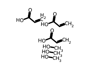 C=CC(=O)O.C=CC(=O)O.C=CC(=O)O.CO.CO.CO